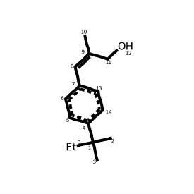 CCC(C)(C)c1ccc(C=C(C)CO)cc1